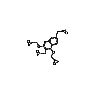 c1cc2c(OCC3CO3)c(CC3CO3)c(OCC3CO3)cc2cc1CC1CO1